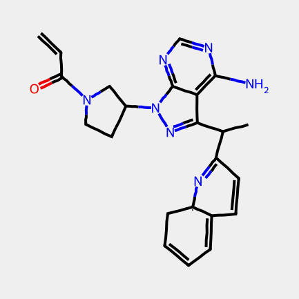 C=CC(=O)N1CCC(n2nc(C(C)C3=N[C]4CC=CC=C4C=C3)c3c(N)ncnc32)C1